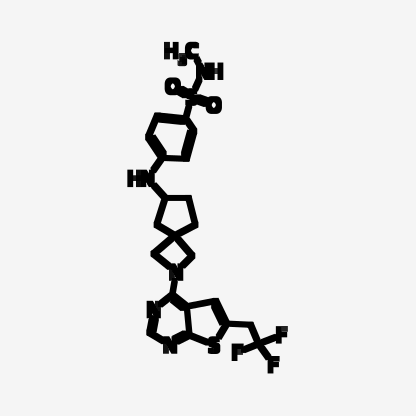 CNS(=O)(=O)c1ccc(NC2CCC3(C2)CN(c2ncnc4sc(CC(F)(F)F)cc24)C3)cc1